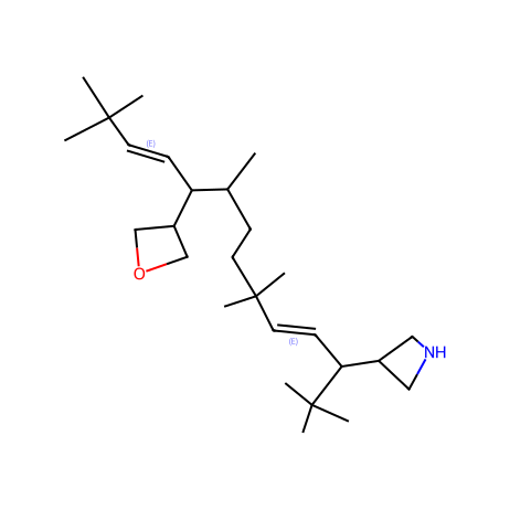 CC(CCC(C)(C)/C=C/C(C1CNC1)C(C)(C)C)C(/C=C/C(C)(C)C)C1COC1